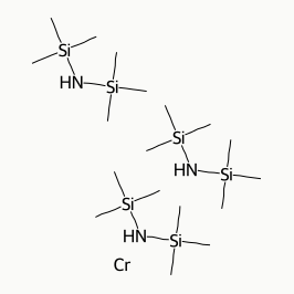 C[Si](C)(C)N[Si](C)(C)C.C[Si](C)(C)N[Si](C)(C)C.C[Si](C)(C)N[Si](C)(C)C.[Cr]